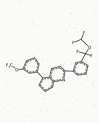 FC(F)OC(F)(F)c1cccc(-c2ccc3c(-c4cccc(OC(F)(F)F)c4)cccc3n2)c1